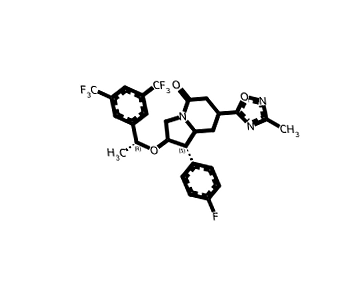 Cc1noc(C2CC(=O)N3CC(O[C@H](C)c4cc(C(F)(F)F)cc(C(F)(F)F)c4)[C@@H](c4ccc(F)cc4)C3C2)n1